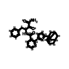 NC(=O)C(=O)C(Cc1ccccc1)NC(=O)c1cccnc1-n1ccc(C23CC4CC(CC(C4)C2)C3)n1